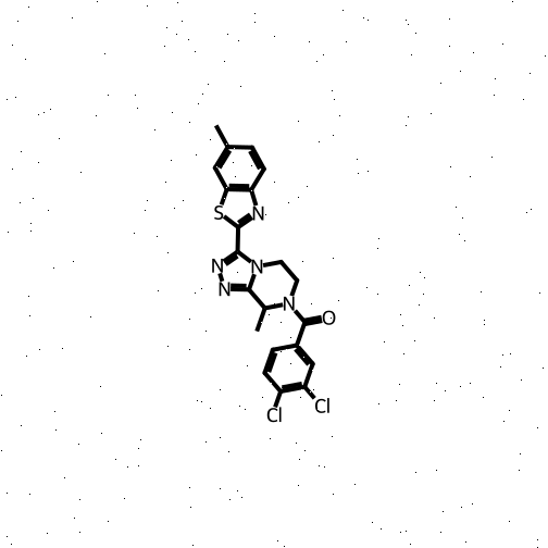 Cc1ccc2nc(-c3nnc4n3CCN(C(=O)c3ccc(Cl)c(Cl)c3)C4C)sc2c1